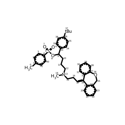 Cc1ccc(S(=O)(=O)OC(CCCN(C)CCC=C2c3ccccc3COc3ccccc32)c2ccc(C(C)(C)C)cc2)cc1